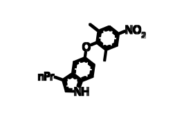 CCCc1c[nH]c2ccc(Oc3c(C)cc([N+](=O)[O-])cc3C)cc12